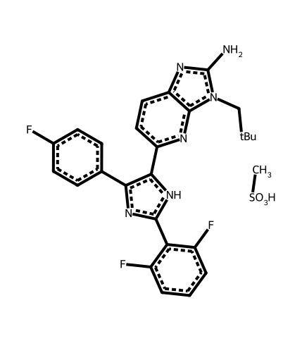 CC(C)(C)Cn1c(N)nc2ccc(-c3[nH]c(-c4c(F)cccc4F)nc3-c3ccc(F)cc3)nc21.CS(=O)(=O)O